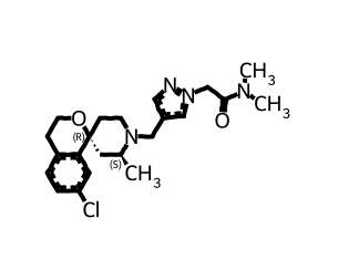 C[C@H]1C[C@@]2(CCN1Cc1cnn(CC(=O)N(C)C)c1)OCCc1ccc(Cl)cc12